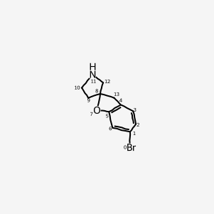 Brc1ccc2c(c1)OC1(CCNC1)C2